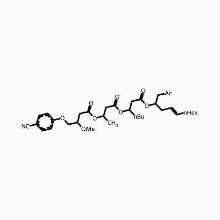 CCCCCCC=CCC(CC(C)=O)OC(=O)CC(CCCC)OC(=O)CC(C)OC(=O)CC(COc1ccc(C#N)cc1)OC